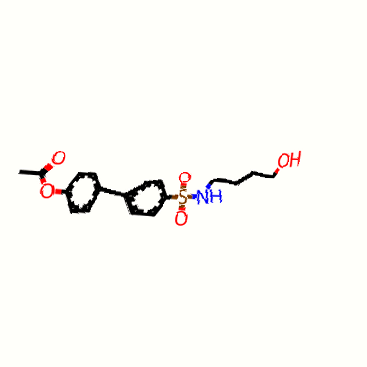 CC(=O)Oc1ccc(-c2ccc(S(=O)(=O)NCCCCO)cc2)cc1